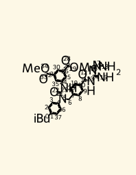 CCC(C)c1ccc(N(Cc2ccc(C(=O)NC(=N)/N=N\N)cc2)C(=O)Nc2cc(C(=O)OC)cc(C(=O)OC)c2)cc1